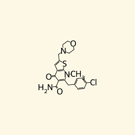 Cn1c(Cc2ccc(Cl)cc2)c(C(N)=O)c(=O)c2cc(CN3CCOCC3)sc21